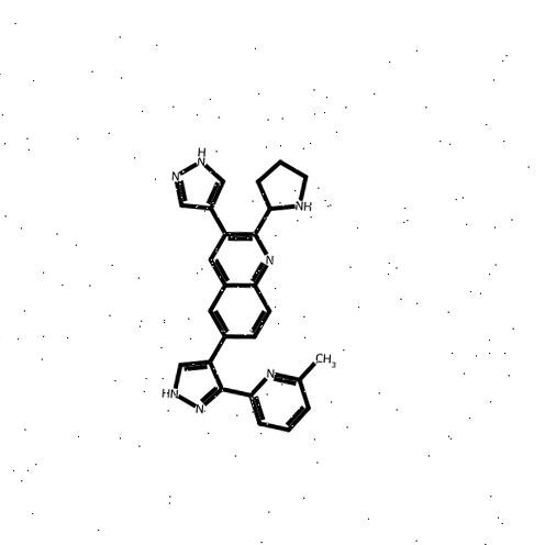 Cc1cccc(-c2n[nH]cc2-c2ccc3nc(C4CCCN4)c(-c4cn[nH]c4)cc3c2)n1